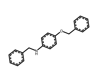 c1ccc(CNc2ccc(OCc3ccccc3)cc2)cc1